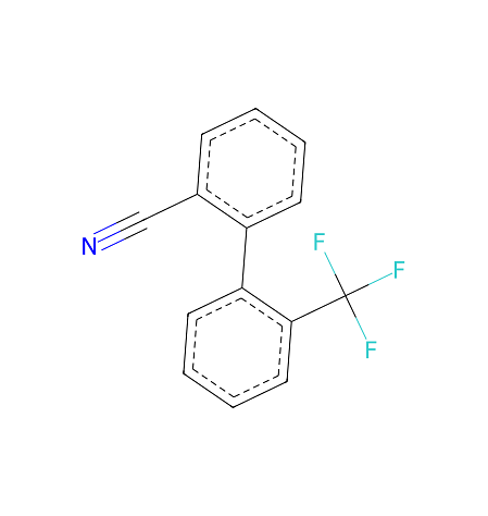 N#Cc1ccccc1-c1ccccc1C(F)(F)F